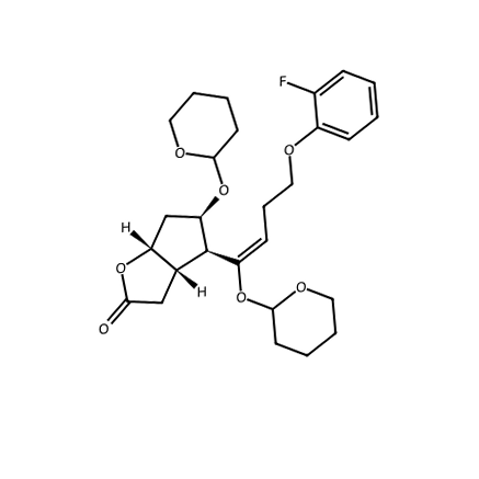 O=C1C[C@H]2[C@H](/C(=C\CCOc3ccccc3F)OC3CCCCO3)[C@H](OC3CCCCO3)C[C@H]2O1